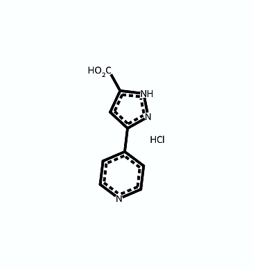 Cl.O=C(O)c1cc(-c2ccncc2)n[nH]1